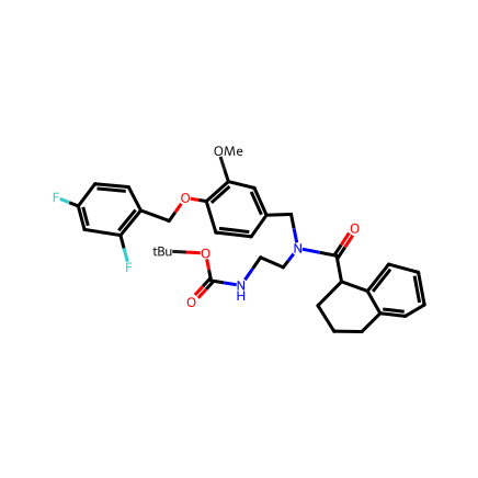 COc1cc(CN(CCNC(=O)OC(C)(C)C)C(=O)C2CCCc3ccccc32)ccc1OCc1ccc(F)cc1F